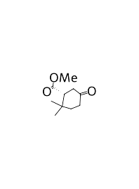 COC(=O)[C@@H]1CC(=O)CCC1(C)C